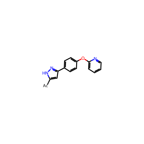 CC(=O)c1cc(-c2ccc(Oc3ccccn3)cc2)n[nH]1